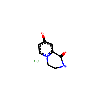 Cl.O=C1NCCn2ccc(=O)cc21